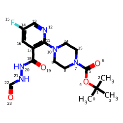 CC(C)(C)OC(=O)N1CCN(c2ncc(F)cc2C(=O)NNC=O)CC1